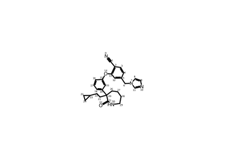 N#Cc1ccc(Cn2ccnc2)cc1Oc1cccc(C2(CCC3CC3)CCCCNC2=O)c1